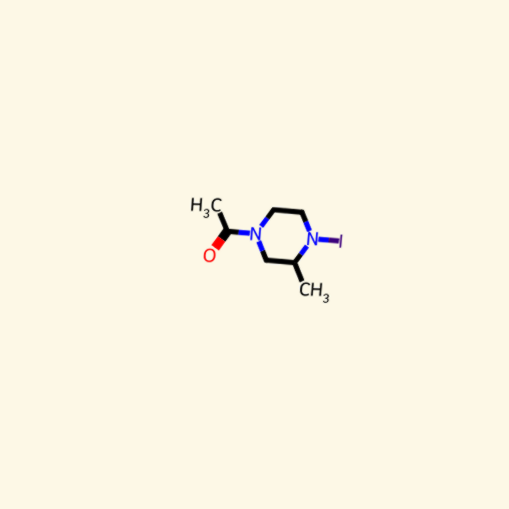 CC(=O)N1CCN(I)C(C)C1